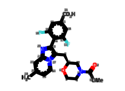 COC(=O)N1CCO[C@@H](Cc2c(-c3c(F)cc(C(=O)O)cc3F)nc3cc(C)ccn23)C1